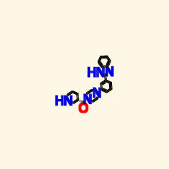 O=C([C@H]1CCCNC1)N1CCN(c2cccc(-c3nc4ccccc4[nH]3)c2)CC1